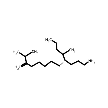 C=C(CCCCC[C@@H](CCCN)C(C)CCC)C(C)C